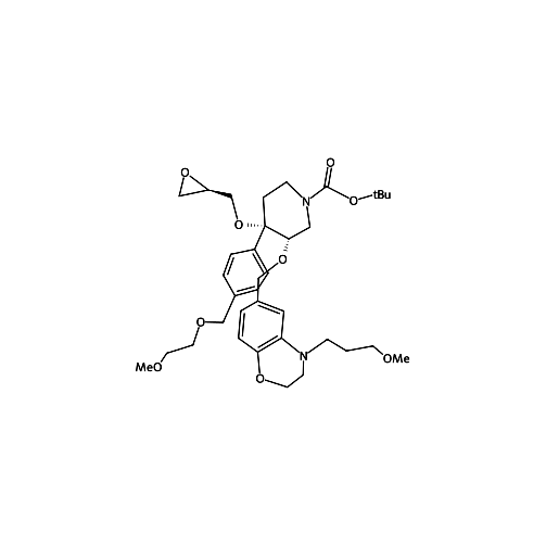 COCCCN1CCOc2ccc(CO[C@H]3CN(C(=O)OC(C)(C)C)CC[C@]3(OC[C@H]3CO3)c3ccc(COCCOC)cc3)cc21